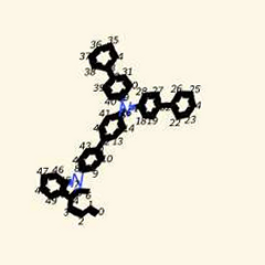 C=C/C=C\c1c(C)n(-c2ccc(-c3ccc(N(c4ccc(-c5ccccc5)cc4)c4ccc(-c5ccccc5)cc4)cc3)cc2)c2ccccc12